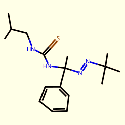 CC(C)CNC(=S)NC(C)(/N=N/C(C)(C)C)c1ccccc1